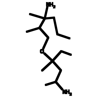 CCCC(C)(N)C(C)COC(C)(CC)CC(C)N